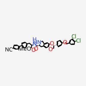 COC(=O)C(Cc1ccc(-c2ccc(C#N)cc2)cc1)NC(=O)[C@@H]1Cc2cc3c(cc2CN1)O[C@H](c1ccc(OCc2ccc(Cl)c(Cl)c2)cc1)CO3